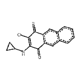 O=C1C(Cl)=C(NC2CC2)C(=O)c2cc3ccccc3cc21